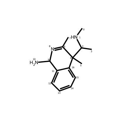 CNC(C)C1(C)C(C)=NC(N)c2ccccc21